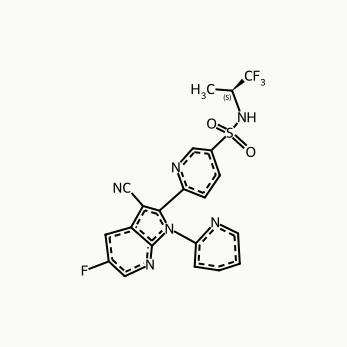 C[C@H](NS(=O)(=O)c1ccc(-c2c(C#N)c3cc(F)cnc3n2-c2ccccn2)nc1)C(F)(F)F